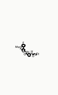 CCOCC(=O)NC1CCCC(C(=O)Nc2cc(-c3ccc(F)cc3OC)c(F)cn2)C1